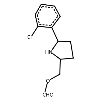 O=COCC1CCC(c2ccccc2Cl)N1